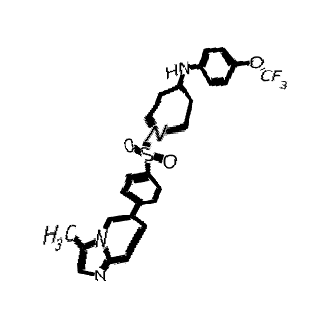 Cc1cnc2ccc(-c3ccc(S(=O)(=O)N4CCC(Nc5ccc(OC(F)(F)F)cc5)CC4)cc3)cn12